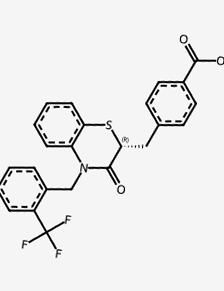 O=C(O)c1ccc(C[C@H]2Sc3ccccc3N(Cc3ccccc3C(F)(F)F)C2=O)cc1